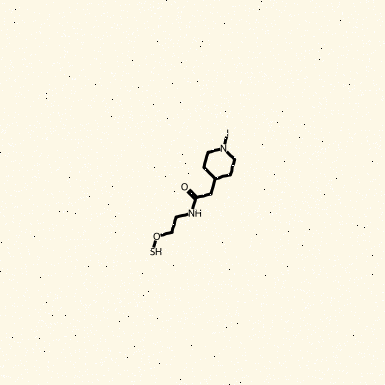 O=C(CC1CCN(I)CC1)NCCOS